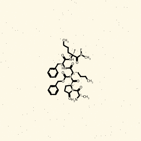 CCCC[C@@H](C(=O)N[C@@H](Cc1ccccc1)C(=O)N[C@@](F)(CCCC)C(=O)N(C)F)N(C(=O)OCc1ccccc1)C(=O)[C@@H]1CCC(=O)N1C(=O)[C@H](C)N